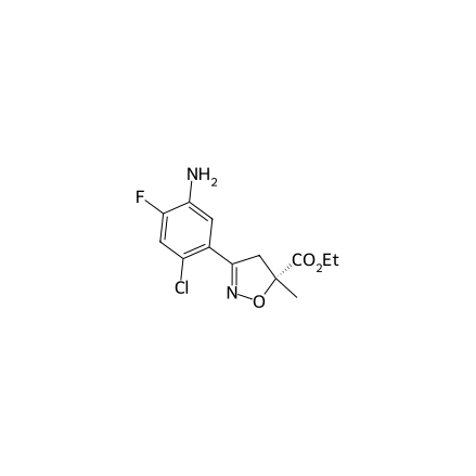 CCOC(=O)[C@@]1(C)CC(c2cc(N)c(F)cc2Cl)=NO1